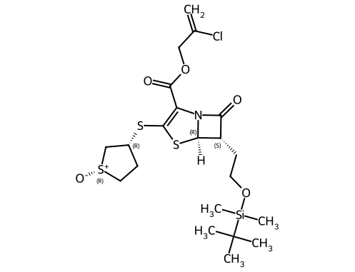 C=C(Cl)COC(=O)C1=C(S[C@@H]2CC[S@+]([O-])C2)S[C@@H]2[C@@H](CCO[Si](C)(C)C(C)(C)C)C(=O)N12